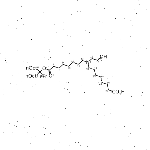 CCCCCCCCC(CCC)(CCCCCCCC)OC(=O)CCCCCCCN(CCO)CCCCCCCC(=O)O